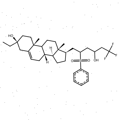 CC[C@]1(O)CC[C@@]2(C)C(=CC[C@@H]3C2CC[C@]2(C)[C@@H](CC(CC(O)CC(F)(F)F)S(=O)(=O)c4ccccc4)CC[C@@H]32)C1